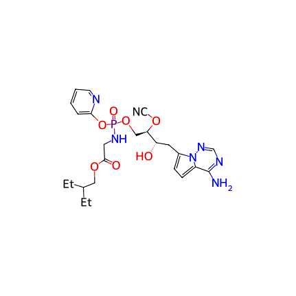 CCC(CC)COC(=O)CNP(=O)(OC[C@@H](OC#N)[C@@H](O)Cc1ccc2c(N)ncnn12)Oc1ccccn1